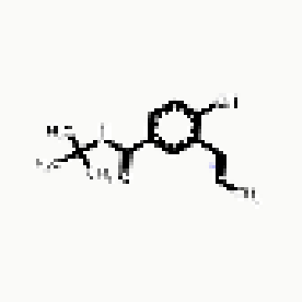 C/C=C/c1cc(C(=O)NC(C)(C)C)ccc1O